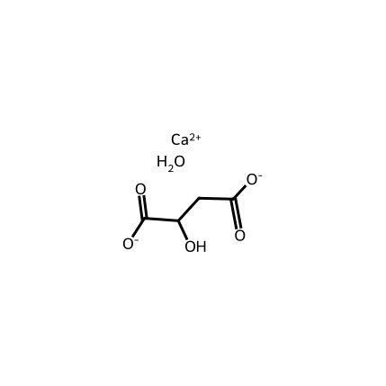 O.O=C([O-])CC(O)C(=O)[O-].[Ca+2]